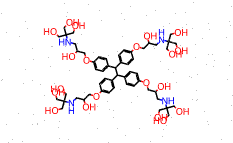 OCC(CO)(CO)NCC(O)COc1ccc(C(c2ccc(OCC(O)CNC(CO)(CO)CO)cc2)C(c2ccc(OCC(O)CNC(CO)(CO)CO)cc2)c2ccc(OCC(O)CNC(CO)(CO)CO)cc2)cc1